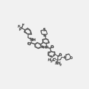 CC(N)(CCN1CCOCC1)C(=O)c1cccc(C(=O)Nc2ccc(N3CCSCC3)cc2-c2cc(C(=O)NCc3cccc(C(F)(F)F)c3)ccn2)c1